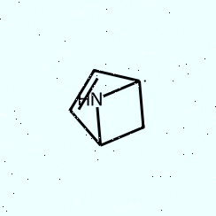 C1=CC2C[C]1N2